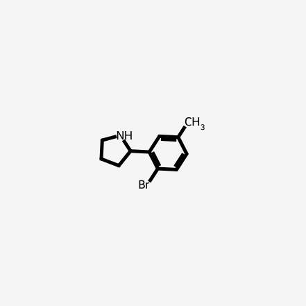 Cc1ccc(Br)c(C2CCCN2)c1